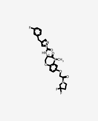 CN1C(=O)[C@@H](NC(=O)n2cc(Cc3cccc(F)c3)cn2)COc2ccc(OCC(=O)N3CCC(F)(F)C3)cc21